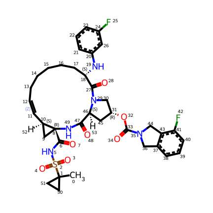 CC1(S(=O)(=O)NC(=O)[C@@]23C[C@H]2/C=C\CCCCC[C@H](Nc2cccc(F)c2)C(=O)N2C[C@H](OC(=O)N4Cc5cccc(F)c5C4)C[C@H]2C(=O)N3)CC1